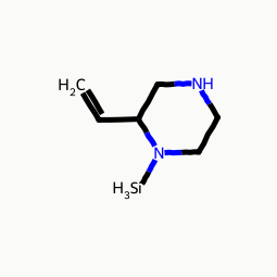 C=CC1CNCCN1[SiH3]